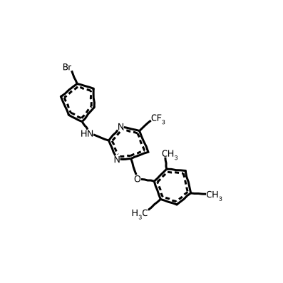 Cc1cc(C)c(Oc2cc(C(F)(F)F)nc(Nc3ccc(Br)cc3)n2)c(C)c1